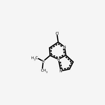 CN(C)c1cc(Cl)nc2ccnn12